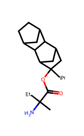 CCC(C)(N)C(=O)OC1(C(C)C)CC2CC1C1C3CCC(C3)C21